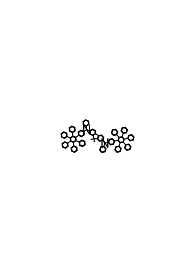 CC1(C)c2cc(N(c3ccccc3)c3ccc(-c4c(-c5ccccc5)c(-c5ccccc5)c(-c5ccccc5)c(-c5ccccc5)c4-c4ccccc4)cc3)ccc2-c2ccc(N(c3ccccc3)c3ccc(-c4c(-c5ccccc5)c(-c5ccccc5)c(-c5ccccc5)c(-c5ccccc5)c4-c4ccccc4)cc3)cc21